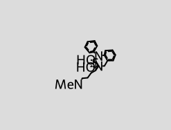 CNCCCCN1Cc2ccccc2N(c2ccccc2)S1(O)O